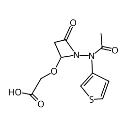 CC(=O)N(c1ccsc1)N1C(=O)CC1OCC(=O)O